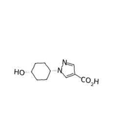 O=C(O)c1cnn([C@H]2CC[C@@H](O)CC2)c1